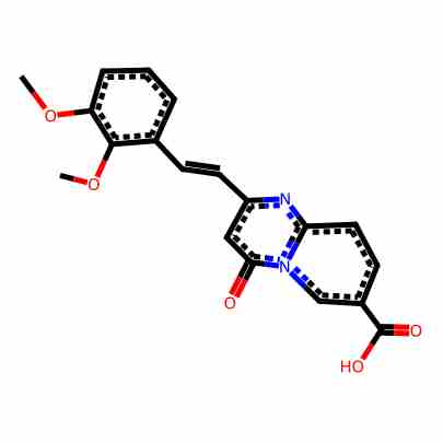 COc1cccc(/C=C/c2cc(=O)n3cc(C(=O)O)ccc3n2)c1OC